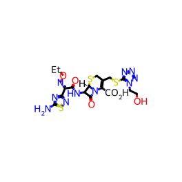 CCO/N=C(\C(=O)NC1C(=O)N2C(C(=O)O)=C(CSc3nnnn3CCO)CS[C@H]12)c1nsc(N)n1